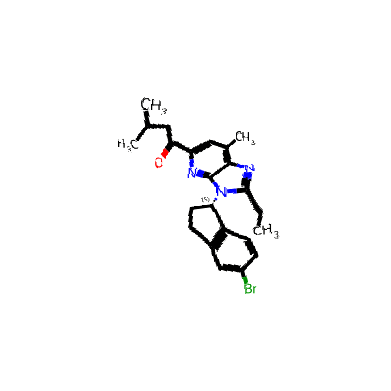 CCc1nc2c(C)cc(C(=O)CC(C)C)nc2n1[C@H]1CCc2cc(Br)ccc21